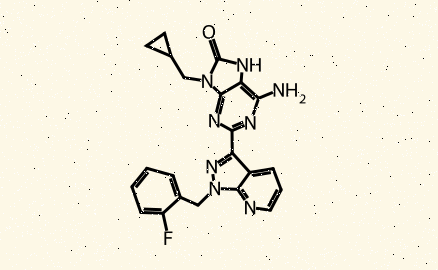 Nc1nc(-c2nn(Cc3ccccc3F)c3ncccc23)nc2c1[nH]c(=O)n2CC1CC1